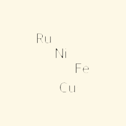 [Cu].[Fe].[Ni].[Ru]